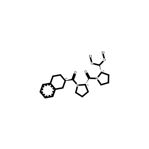 CCOC(OCC)[C@@H]1CCCN1C(=O)[C@@H]1CCCN1C(=O)[C@@H]1CCc2ccccc2C1